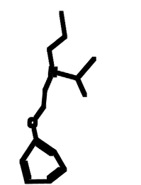 CCCN(CCOc1ccccc1)C(C)C